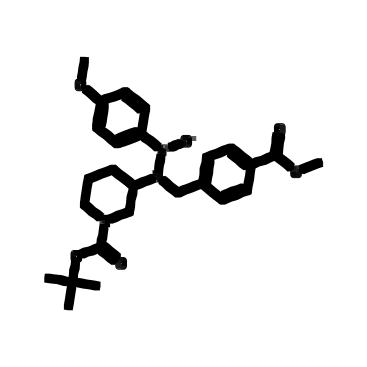 COC(=O)c1ccc(CN(C2CCCN(C(=O)OC(C)(C)C)C2)[S+]([O-])c2ccc(OC)cc2)cc1